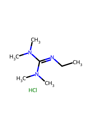 CCN=C(N(C)C)N(C)C.Cl